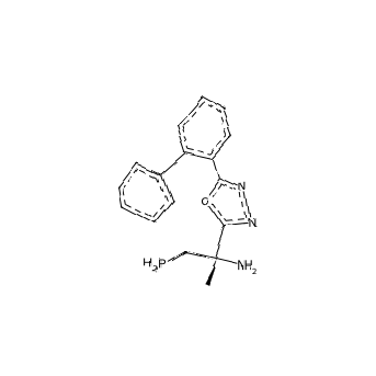 C[C@@](N)(CP)c1nnc(-c2ccccc2-c2ccccc2)o1